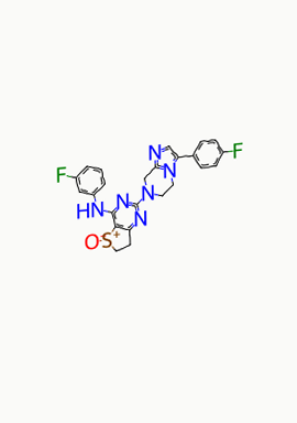 [O-][S+]1CCc2nc(N3CCn4c(-c5ccc(F)cc5)cnc4C3)nc(Nc3cccc(F)c3)c21